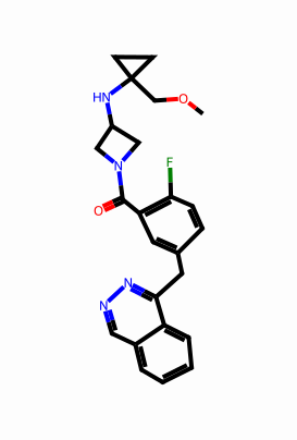 COCC1(NC2CN(C(=O)c3cc(Cc4nncc5ccccc45)ccc3F)C2)CC1